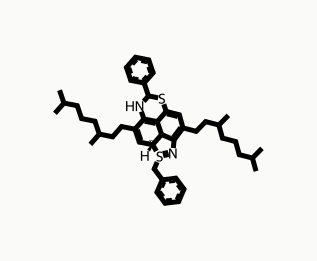 CC(C)CCCC(C)CCC1=C[C@@H]2C3C(=C(CCC(C)CCCC(C)C)C=C4SC(c5ccccc5)NC1=C43)N=S2Cc1ccccc1